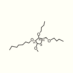 CCCCCCCO[C@H]1C(OC)S[C@H](COCCCC)[C@@H]1OCCCC